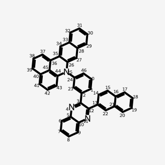 c1cc(-c2nc3ccccc3nc2-c2ccc3ccccc3c2)cc(N2c3cc4ccccc4cc3-c3cccc4cccc2c34)c1